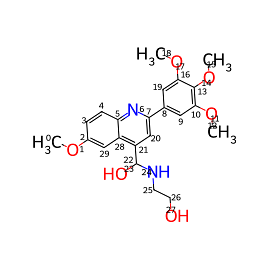 COc1ccc2nc(-c3cc(OC)c(OC)c(OC)c3)cc(C(O)NCCO)c2c1